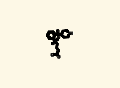 O=C(Cl)OCCS(=O)(=O)c1ccccc1S(=O)(=O)C1CCNCC1